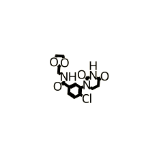 O=C1CCN(c2cc(C(=O)NCC3OCCO3)ccc2Cl)C(=O)N1